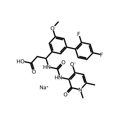 COc1cc(-c2ccc(F)cc2F)cc(C(CC(=O)O)NC(=O)Nc2c([O-])cc(C)n(C)c2=O)c1.[Na+]